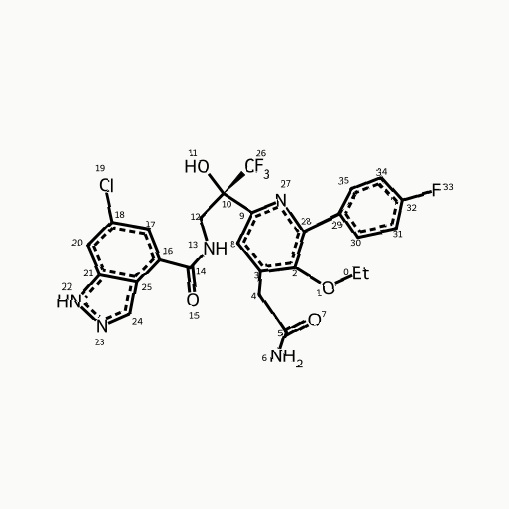 CCOc1c(CC(N)=O)cc([C@@](O)(CNC(=O)c2cc(Cl)cc3[nH]ncc23)C(F)(F)F)nc1-c1ccc(F)cc1